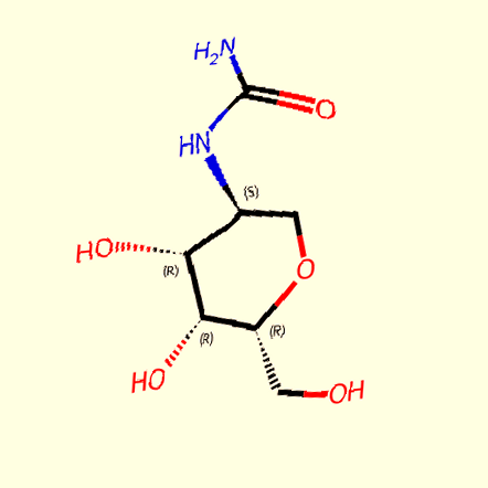 NC(=O)N[C@H]1CO[C@H](CO)[C@H](O)[C@@H]1O